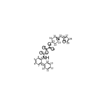 O=C(Nc1ccccc1-c1ccccc1)OC(=O)C(=O)OC1CCN(Cc2ccco2)CC1